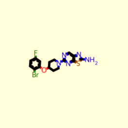 Nc1nc2cnc(N3CCC(Oc4cc(F)ccc4Br)CC3)nc2s1